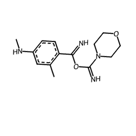 CNc1ccc(C(=N)OC(=N)N2CCOCC2)c(C)c1